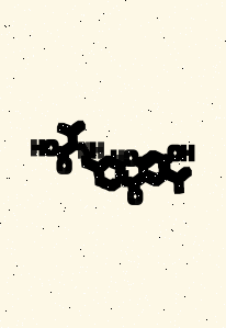 CC(C)c1cc(C(=O)N2CCC(CN[C@H](C(=O)O)C(C)C)CC2)c(O)cc1O